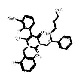 COc1cccc(-c2c(C)n(Cc3c(F)cccc3C(F)(F)F)c(=O)n(C[C@@H](NCCCC(=O)O)c3ccccc3)c2=O)c1F